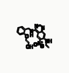 CCNc1cc2ncnc(NCc3ccccc3OCCO)c2cc1[N+](=O)[O-]